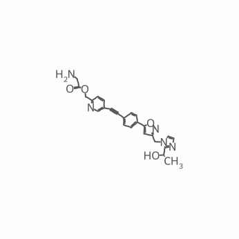 C[C@H](O)c1nccn1Cc1cc(-c2ccc(C#Cc3ccc(COC(=O)CN)nc3)cc2)on1